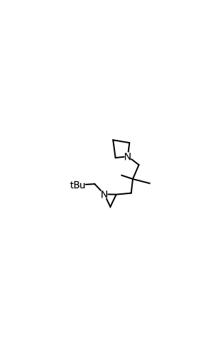 CC(C)(C)CN1CC1CC(C)(C)CN1CCC1